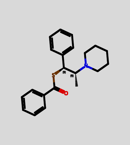 C[C@H]([C@@H](SC(=O)c1ccccc1)c1ccccc1)N1CCCCC1